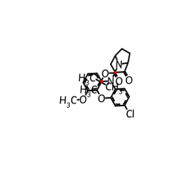 COc1cccc2c1Oc1cc(Cl)ccc1N2C1CC2CCC(C1=O)N2C(=O)OC(C)(C)C